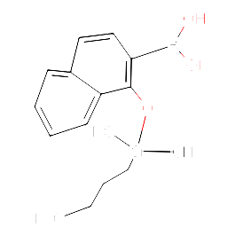 CCCC[Si](C)(C)Oc1c(B(O)O)ccc2ccccc12